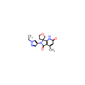 Cc1cc(=O)[nH]c2c1C(=O)N(c1cnn(CC(F)(F)F)c1)C21CCOC1